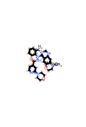 COc1cc2ncnc(N(NC(=O)c3ccnc(N4CCOCC4)c3)c3ccccc3C)c2cc1OCCN(C)C